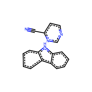 N#Cc1ccncn1.c1ccc2c(c1)[nH]c1ccccc12